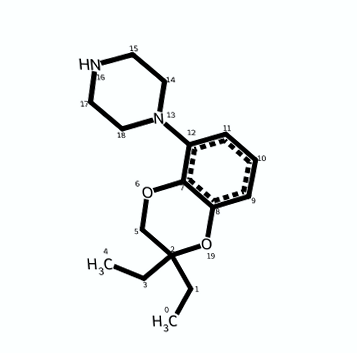 CCC1(CC)COc2c(cccc2N2CCNCC2)O1